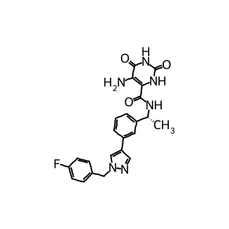 C[C@@H](NC(=O)c1[nH]c(=O)[nH]c(=O)c1N)c1cccc(-c2cnn(Cc3ccc(F)cc3)c2)c1